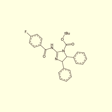 CC(C)(C)OC(=O)N1C(NC(=O)c2ccc(F)cc2)=NC(c2ccccc2)C1c1ccccc1